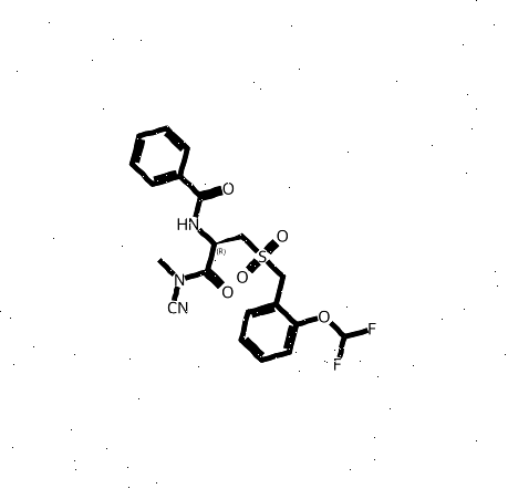 CN(C#N)C(=O)[C@H](CS(=O)(=O)Cc1ccccc1OC(F)F)NC(=O)c1ccccc1